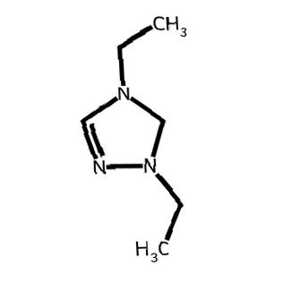 CCN1C=NN(CC)C1